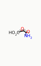 NC(=O)C1OC1C(=O)O